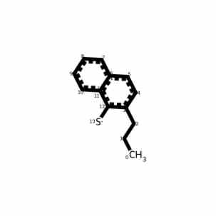 CCCc1ccc2ccccc2c1[S]